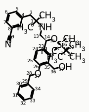 CC(C)(Cc1cccc(C#N)c1)NC[C@@H](O[Si](C)(C)C(C)(C)C)c1ccc(OCc2ccccc2)c(CO)c1